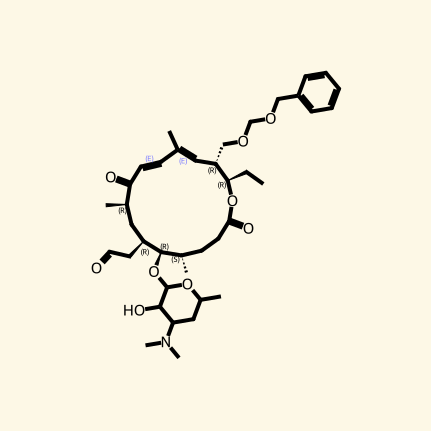 CC[C@H]1OC(=O)CC[C@H](C)[C@@H](OC2OC(C)CC(N(C)C)C2O)[C@@H](CC=O)C[C@@H](C)C(=O)/C=C/C(C)=C/[C@@H]1COCOCc1ccccc1